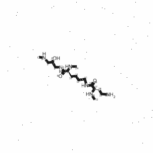 CNCC(O)CNC(=O)[C@H](CCCCNC(=O)[C@H](CCN)NC)NC